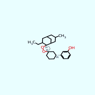 CCC1CC2CC(C)CC(C2)[C@]12C[C@]1(CCC[C@@H](c3cccc(O)c3)C1)OO2